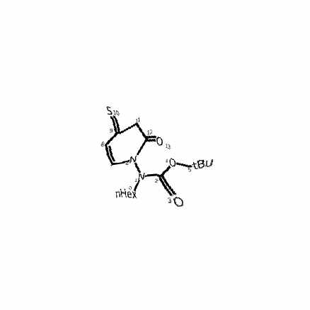 CCCCCCN(C(=O)OC(C)(C)C)N1C=CC(=S)CC1=O